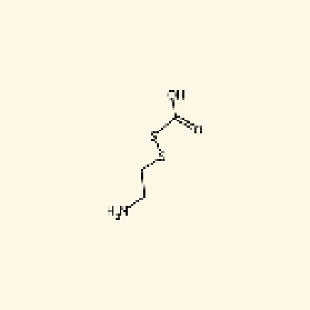 NCCSSC(=O)O